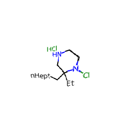 CCCCCCCCC1(CC)CNCCN1Cl.Cl